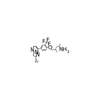 CC(N)CC(C)COc1ccc(-c2ccnc3cc(C4CC4)nn23)cc1C(F)(F)F